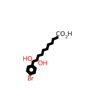 O=C(O)CCCCCCCCC(O)C(O)c1ccc(Br)cc1